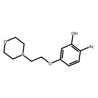 CC(=O)c1ccc(OCCN2CCOCC2)cc1O